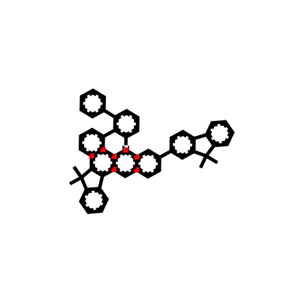 CC1(C)c2ccccc2-c2cc(N(c3cccc(-c4ccc5c(c4)C(C)(C)c4ccccc4-5)c3)c3cccc(-c4ccccc4)c3-c3ccccc3-c3ccccc3)ccc21